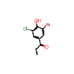 CCC(=O)c1cc(Cl)c(O)c(Br)c1